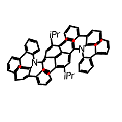 CC(C)c1cc2c(N(c3ccccc3-c3ccccc3)c3ccccc3-c3ccccc3)ccc3c(C(C)C)cc4c(N(c5ccccc5-c5ccccc5)c5ccccc5-c5ccccc5)ccc1c4c32